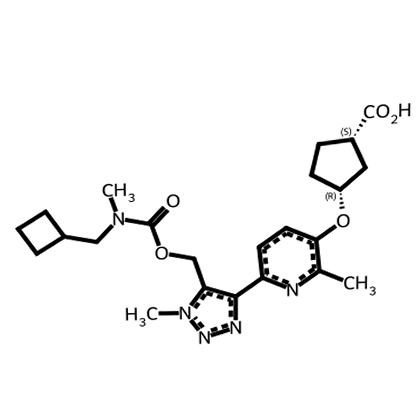 Cc1nc(-c2nnn(C)c2COC(=O)N(C)CC2CCC2)ccc1O[C@@H]1CC[C@H](C(=O)O)C1